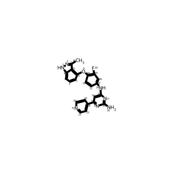 Cc1n[nH]c2cccc(Oc3ccc(Nc4cc(-c5ccncc5)nc(N)n4)cc3F)c12